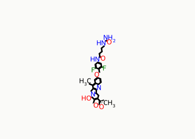 CCc1c2c(nc3ccc(OCc4c(F)cc(NC(=O)CCCCNC(N)=O)cc4F)cc13)C1CC3=C(COC(=O)[C@@H]3CC)C(O)N1C2